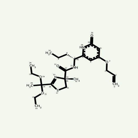 C=CCOc1cc([C@@H](CCC)NC(=O)[C@]2(C)CSC(C(C)(OCC)OCC)=N2)[nH]c(=O)c1